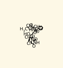 CC(C)OC(=O)[C@H](C)NP(=O)(OCC1O[C@@H](n2ccc(=O)[nH]c2=O)[C@@](Cl)(C#CCl)C1O)Oc1ccccc1